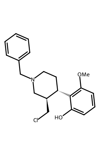 COc1cccc(O)c1[C@H]1CCN(Cc2ccccc2)C[C@@H]1CCl